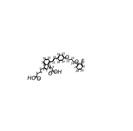 O=C(O)CCCc1cn(CC(=O)O)c2c(/C=C/c3ccc(OCCCOc4ccccc4F)cc3)cccc12